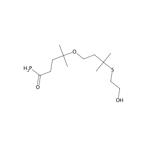 CC(C)(CCC(=O)P)OCCC(C)(C)SCCO